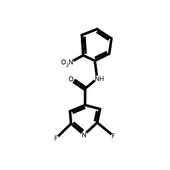 O=C(Nc1ccccc1[N+](=O)[O-])c1cc(F)nc(F)c1